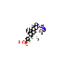 CC1C(c2ccc(C(=O)O)c(F)c2)=CC[C@@]2(C)C1CCC1(C)C2CC[C@@H]2C3CCCC3(NCCN3CCCC3=O)CC[C@]21C